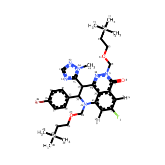 [2H]c1c(F)c([2H])c2c(=O)n(COCC[Si](C)(C)C)nc3c2c1N(COCC[Si](C)(C)C)C(c1ccc(Br)cc1)C3c1ncnn1C